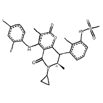 Cc1c(NS(C)(=O)=O)cccc1C1c2oc(=O)c(C)c(Nc3ccc(I)cc3F)c2C(=O)N(C2CC2)[C@@H]1C